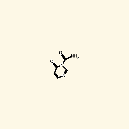 NC(=O)n1cnccc1=O